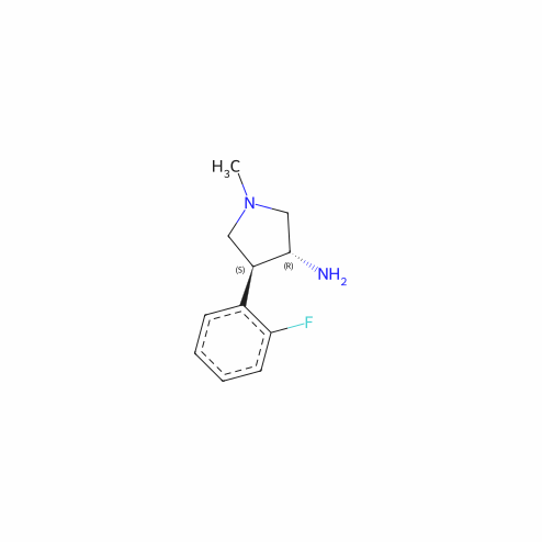 CN1C[C@H](c2ccccc2F)[C@@H](N)C1